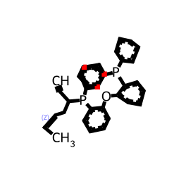 C#CC(C/C=C\C)P(c1ccccc1)c1ccccc1Oc1ccccc1P(c1ccccc1)c1ccccc1